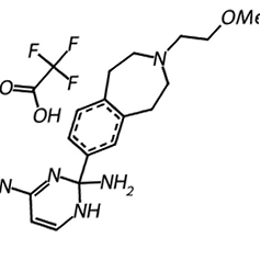 COCCN1CCc2ccc(C3(N)N=C(N)C=CN3)cc2CC1.O=C(O)C(F)(F)F